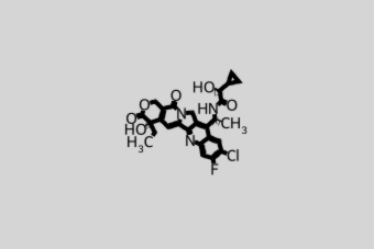 CC[C@@]1(O)C(=O)OCc2c1cc1n(c2=O)Cc2c-1nc1cc(F)c(Cl)cc1c2[C@@H](C)NC(=O)[C@@H](O)C1CC1